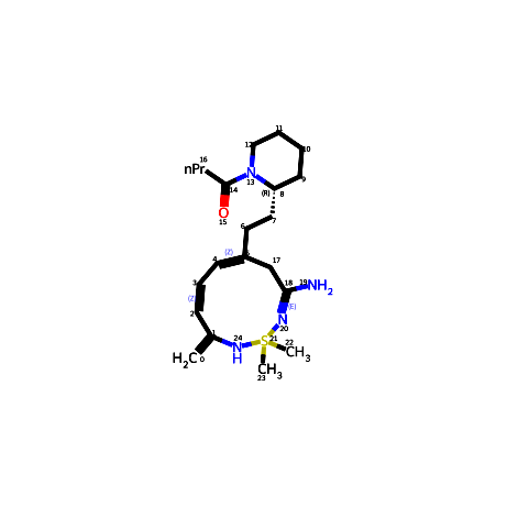 C=C1/C=C\C=C(\CC[C@H]2CCCCN2C(=O)CCC)C/C(N)=N\S(C)(C)N1